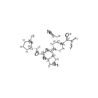 C=C(F)C(=O)N1CCN(c2nc(OC[C@@H]3CCCN3C)nc3c2CNC3)C[C@@H]1CC#N